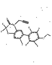 C#CCN1C(=O)C(F)(F)Oc2cc(F)c(-c3c(F)c(F)c(OCC)c(F)c3F)cc21